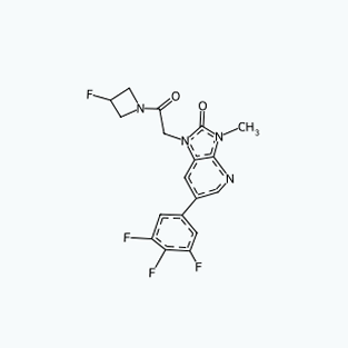 Cn1c(=O)n(CC(=O)N2CC(F)C2)c2cc(-c3cc(F)c(F)c(F)c3)cnc21